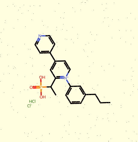 CCCc1cccc(-[n+]2ccc(-c3ccncc3)cc2C(C)P(=O)(O)O)c1.Cl.[Cl-]